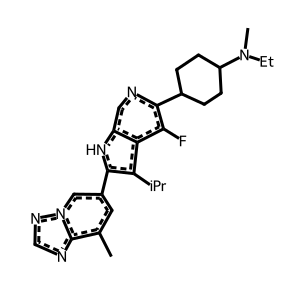 CCN(C)C1CCC(c2ncc3[nH]c(-c4cc(C)c5ncnn5c4)c(C(C)C)c3c2F)CC1